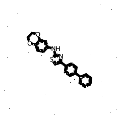 c1ccc(-c2ccc(-c3csc(Nc4ccc5c(c4)OCCO5)n3)cc2)cc1